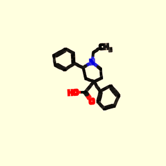 CCN1CCC(C(=O)O)(c2ccccc2)CC1c1ccccc1